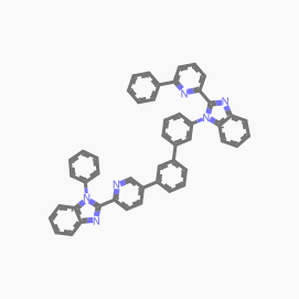 c1ccc(-c2cccc(-c3nc4ccccc4n3-c3cccc(-c4cccc(-c5ccc(-c6nc7ccccc7n6-c6ccccc6)nc5)c4)c3)n2)cc1